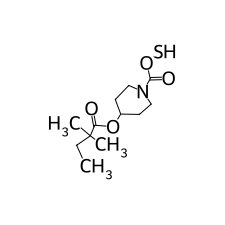 CCC(C)(C)C(=O)OC1CCN(C(=O)OS)CC1